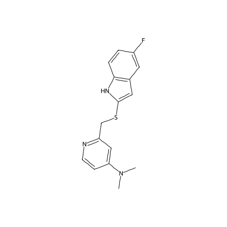 CN(C)c1ccnc(CSc2cc3cc(F)ccc3[nH]2)c1